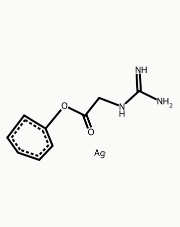 N=C(N)NCC(=O)Oc1ccccc1.[Ag]